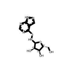 OC[C@H]1OC(NSc2ncnc3[nH]ncc23)[C@H](O)[C@@H]1O